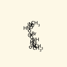 CC(=O)N1CCC[C@H]1C(=O)Nc1ccc(-c2oc3ccc(NC(=O)C4CCCN4C(=O)[C@H](c4ccccc4)N(C)C)cc3c2Br)cc1